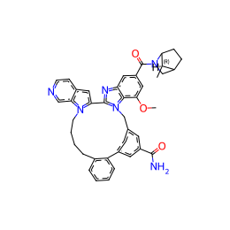 COc1cc(C(=O)N2CC3CCC2[C@@H]3C)cc2nc3n(c12)Cc1cc(C(N)=O)cc(c1)-c1ccccc1CCCCn1c-3cc2ccncc21